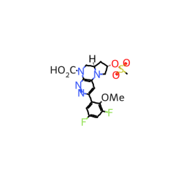 COc1c(F)cc(F)cc1-c1cc2c(nn1)N(C(=O)O)C[C@H]1C[C@H](OS(C)(=O)=O)CN21